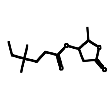 CCC(C)(C)CCC(=O)OC1CC(=O)OC1C